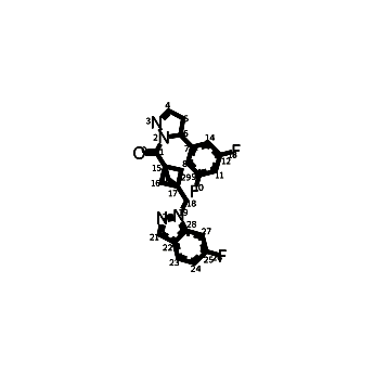 O=C(N1N=CCC1c1cc(F)cc(F)c1)C12CC(Cn3ncc4ccc(F)cc43)(C1)C2